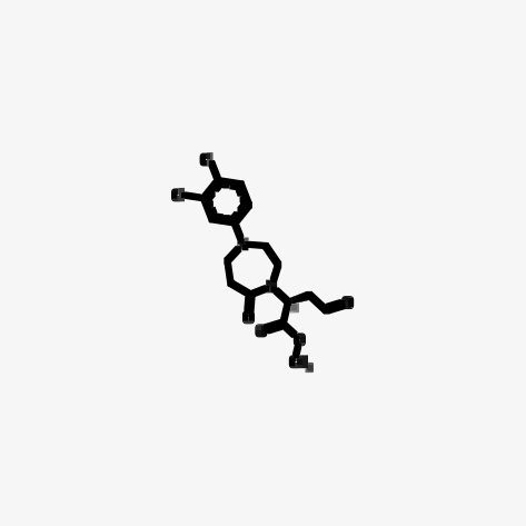 COC(=O)[C@H](CC=O)N1CCN(c2ccc(Cl)c(Cl)c2)CCC1=O